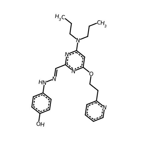 CCCN(CCC)c1cc(OCCc2ccccn2)nc(/C=N/Nc2ccc(O)cc2)n1